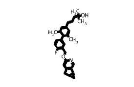 Cc1cc(CCCC(C)(C)O)cc(C)c1-c1ccc(F)c(COc2cc3c(cn2)C2CC2C3)c1